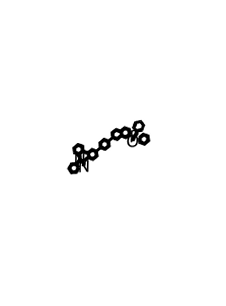 O=P(C1=CCCC=C1)(c1ccccc1)c1ccc2ccc(-c3ccc(-c4ccc5c(c4)c4ccccc4n4c6ccccc6nc54)cc3)cc2c1